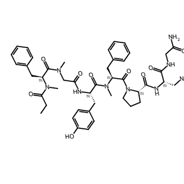 CCC(=O)N(C)[C@@H](Cc1ccccc1)C(=O)N(C)CC(=O)N[C@@H](Cc1ccc(O)cc1)C(=O)N(C)[C@@H](Cc1ccccc1)C(=O)N1CCC[C@H]1C(=O)N[C@@H](CN)C(=O)NCC(N)=O